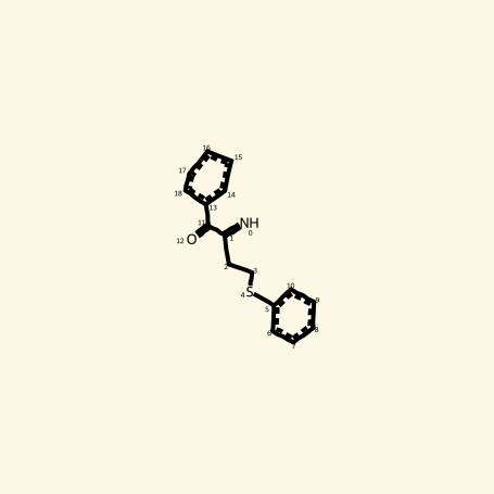 N=C(CCSc1ccccc1)C(=O)c1ccccc1